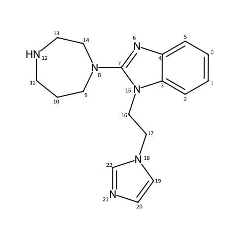 c1ccc2c(c1)nc(N1CCCNCC1)n2CCn1ccnc1